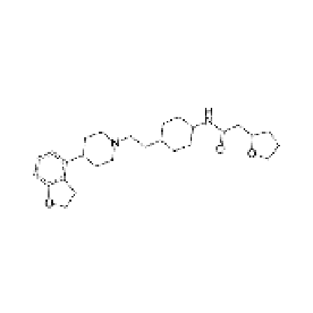 O=C(CC1CCCO1)NC1CCC(CCN2CCC(c3cccc4c3CCO4)CC2)CC1